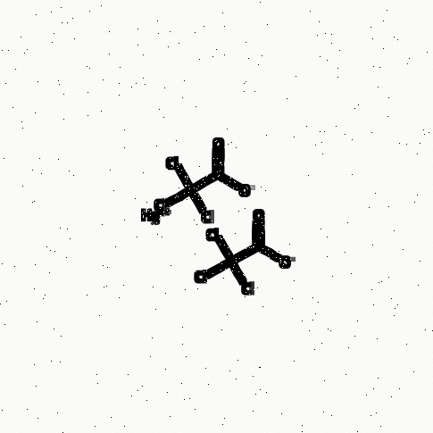 O=C([O-])C(Cl)(Cl)Cl.O=C([O-])C(Cl)(Cl)Cl.[Hg+2]